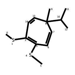 CSC1=C(SC)C=CC(C)(C(C)C)C=C1